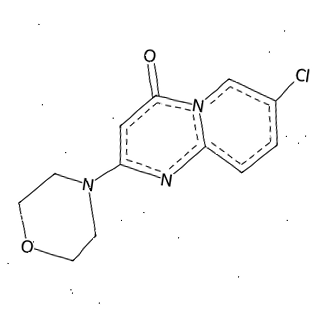 O=c1cc(N2CCOCC2)nc2ccc(Cl)cn12